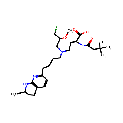 COC(CF)CN(CCCCc1ccc2c(n1)NC(C)CC2)CCC(NC(=O)CC(C)(C)C)C(=O)O